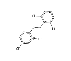 [O-][n+]1cc(Cl)ccc1SCc1c(Cl)cccc1Cl